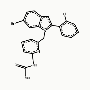 CC(C)(C)C(=O)Nc1cccc(Cn2c(-c3ccccc3Cl)cc3ccc(Br)cc32)n1